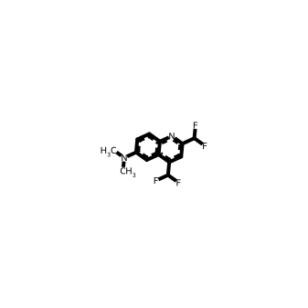 CN(C)c1ccc2nc(C(F)F)cc(C(F)F)c2c1